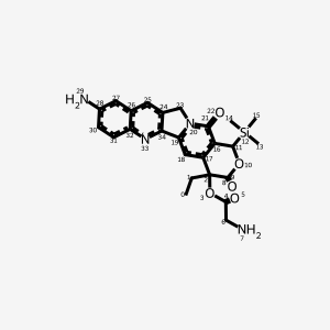 CCC1(OC(=O)CN)C(=O)OC([Si](C)(C)C)c2c1cc1n(c2=O)Cc2cc3cc(N)ccc3nc2-1